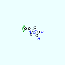 N#Cc1ccc(-c2nc3c(-c4ccccc4)cc4c(-c5cccc(-c6cc(F)c(F)c(F)c6)c5)nc5ccccc5c4c3nc2-c2ccc(C#N)cc2)cc1